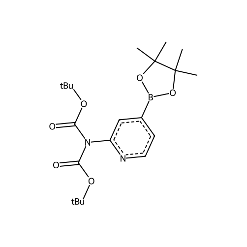 CC(C)(C)OC(=O)N(C(=O)OC(C)(C)C)c1cc(B2OC(C)(C)C(C)(C)O2)ccn1